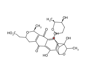 CC1OC2CC(O[C@H]3CC[C@H](O)[C@H](C)O3)C1(O)c1c(O)c3c(c(O)c12)C(=O)C1=C(C3=O)[C@H](C)OC(CC(=O)O)C1